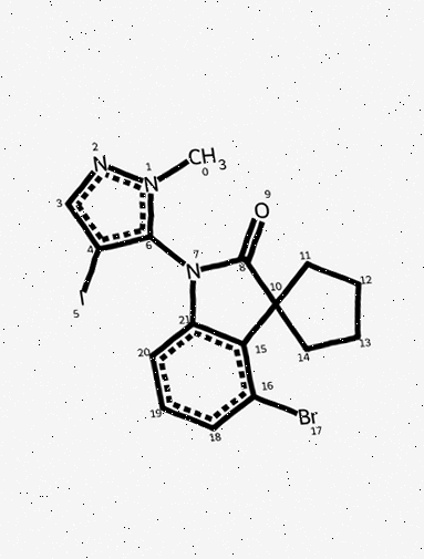 Cn1ncc(I)c1N1C(=O)C2(CCCC2)c2c(Br)cccc21